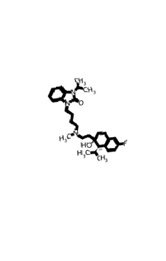 CC(C)[C@H]1c2ccc(F)cc2CC[C@]1(O)CCN(C)CCCCn1c(=O)n(C(C)C)c2ccccc21